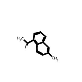 Cc1ccc2c(C(C)F)cccc2c1